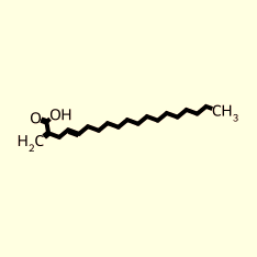 C=C(CC=CCCCCCCCCCCCCCC)C(=O)O